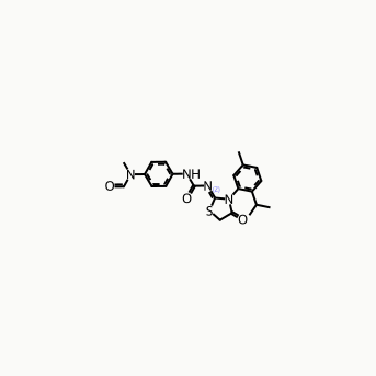 Cc1ccc(C(C)C)c(N2C(=O)CS/C2=N\C(=O)Nc2ccc(N(C)C=O)cc2)c1